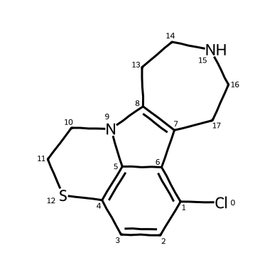 Clc1ccc2c3c1c1c(n3CCS2)CCNCC1